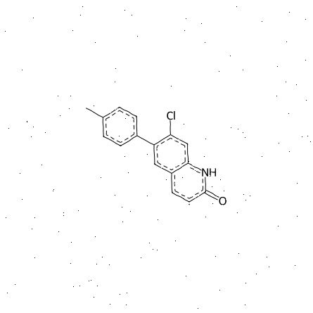 Cc1ccc(-c2cc3c[c]c(=O)[nH]c3cc2Cl)cc1